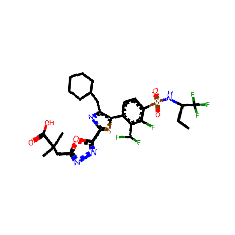 CCC(NS(=O)(=O)c1ccc(-c2sc(-c3nnc(CC(C)(C)C(=O)O)o3)nc2CC2CCCCC2)c(C(F)F)c1F)C(F)(F)F